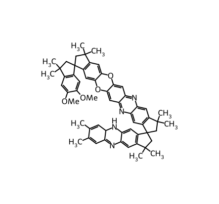 COc1cc2c(cc1OC)C1(CC2(C)C)CC(C)(C)c2cc3c(cc21)Oc1cc2nc4cc5c(cc4nc2cc1O3)C(C)(C)CC51CC(C)(C)c2cc3c(cc21)NC1C=C(C)C(C)=CC1=N3